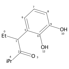 CCC(C(=O)C(C)C)c1cccc(O)c1O